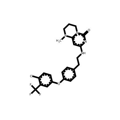 CN1CCCn2c1cc(NCCc1ccc(Oc3ccc(Cl)c(C(F)(F)F)c3)cc1)nc2=O